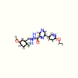 CCOc1ccc(-c2cncc(C(=O)NNCc3cc(OC)ccc3F)n2)cn1